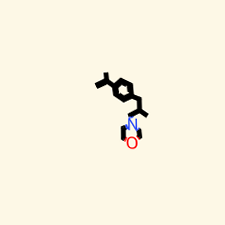 C=C(C)c1ccc(CC(C)CN2CCOCC2)cc1